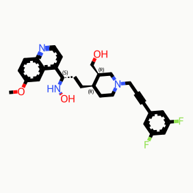 COc1ccc2nccc([C@H](CC[C@@H]3CCN(CC#Cc4cc(F)cc(F)c4)C[C@@H]3CO)NO)c2c1